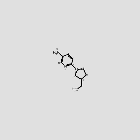 CCC1CCN(c2ccc(N)cn2)C1